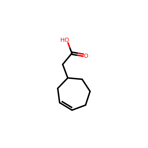 O=C(O)CC1CC=CCCC1